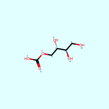 O=C(O)OC[C@H](O)[C@H](O)CO